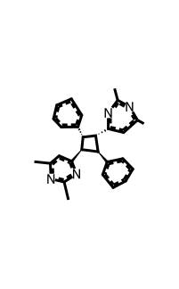 Cc1cc([C@H]2[C@H](c3ccccc3)[C@H](c3cc(C)nc(C)n3)[C@H]2c2ccccc2)nc(C)n1